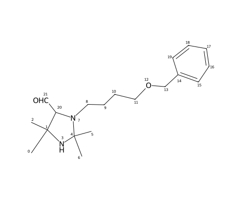 CC1(C)NC(C)(C)N(CCCCOCc2ccccc2)C1C=O